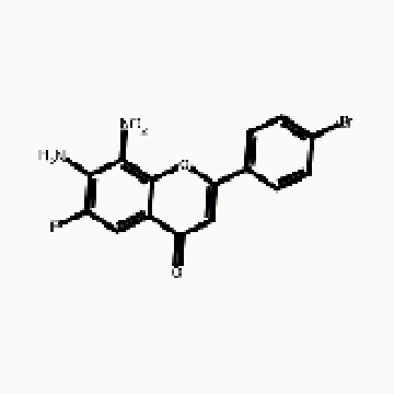 Nc1c(F)cc2c(=O)cc(-c3ccc(Br)cc3)oc2c1[N+](=O)[O-]